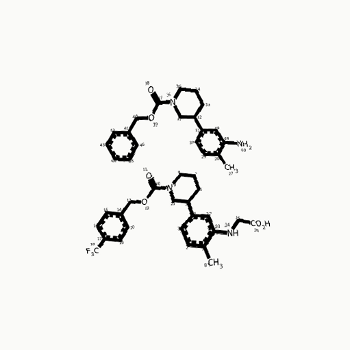 Cc1ccc(C2CCCN(C(=O)OCc3ccc(C(F)(F)F)cc3)C2)cc1NCC(=O)O.Cc1ccc(C2CCCN(C(=O)OCc3ccccc3)C2)cc1N